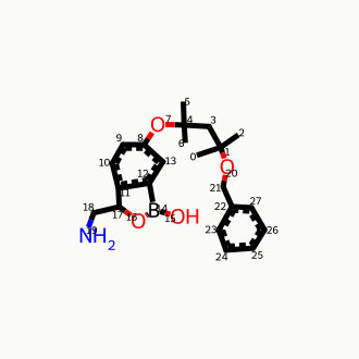 CC(C)(CC(C)(C)Oc1ccc2c(c1)B(O)OC2CN)OCc1ccccc1